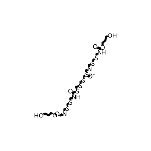 O=C(NCSCSC/N=C/[S+]([O-])CSCSCSC(=O)NCSCSC/N=C\OOCCCO)OCCCO